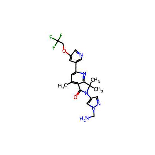 Cc1cc(-c2cncc(OCC(F)(F)F)c2)nc2c1C(=O)N(c1cnn(CN)c1)C2(C)C